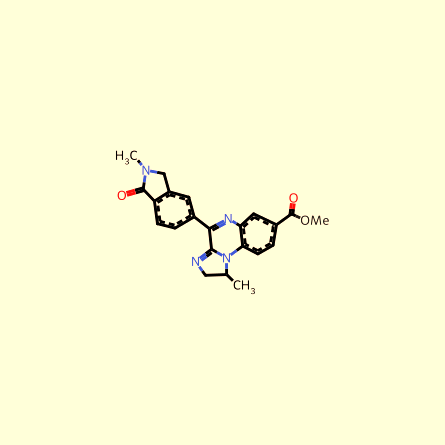 COC(=O)c1ccc2c(c1)N=C(c1ccc3c(c1)CN(C)C3=O)C1=NCC(C)N12